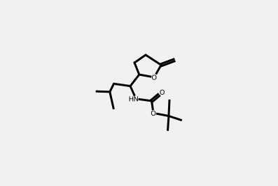 C=C1CCC(C(CC(C)C)NC(=O)OC(C)(C)C)O1